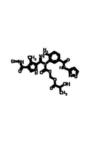 CCNC(=O)c1c[nH]c(C(=N)N(C(=O)OCOC(=O)C(C)O)c2cc(C(=O)Nc3ccon3)ccc2C)c1C